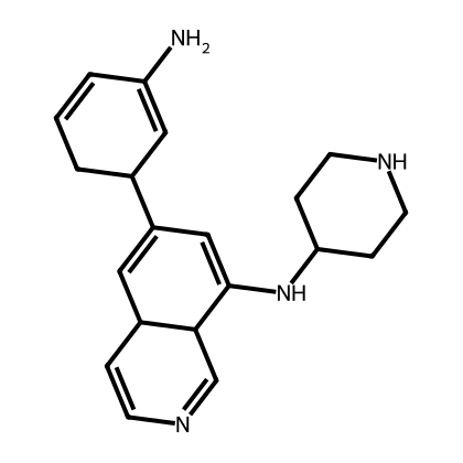 NC1=CC(C2=CC3C=CN=CC3C(NC3CCNCC3)=C2)CC=C1